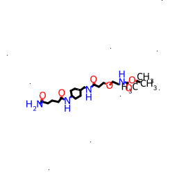 CC(C)(C)OC(=O)NCCOCCC(=O)NCC1CCC(NC(=O)CCCC(N)=O)CC1